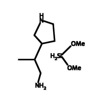 CC(CN)C1CCNC1.CO[SiH2]OC